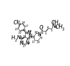 CN(C)CC=CC(=O)N1CCCC(n2nc(-c3ccc(Cl)cc3)c3c(N)ncnc32)C1